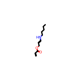 C=CC(=O)OCC=CNCCCCC